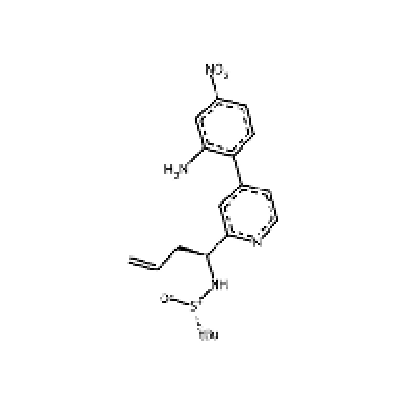 C=CC[C@H](N[S@@+]([O-])C(C)(C)C)c1cc(-c2ccc([N+](=O)[O-])cc2N)ccn1